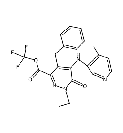 CCn1nc(C(=O)OC(F)(F)F)c(Cc2ccccc2)c(Nc2cnccc2C)c1=O